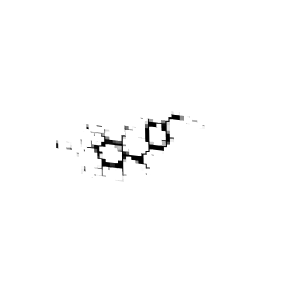 C=Cc1ccc(C(=O)c2c(F)c(C(F)(F)F)c(S(=O)(=O)O)c(C(F)(F)F)c2F)cc1